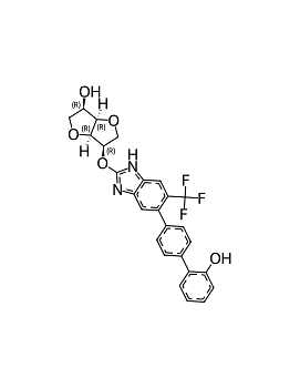 Oc1ccccc1-c1ccc(-c2cc3nc(O[C@@H]4CO[C@H]5[C@@H]4OC[C@H]5O)[nH]c3cc2C(F)(F)F)cc1